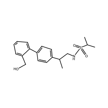 CC(CNS(=O)(=O)C(C)C)c1ccc(-c2ccccc2CO)cc1